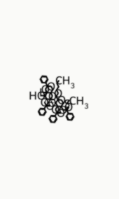 CCCCOCC1O[C@@H](SCC)C(OC(=O)c2ccccc2)C(OC(=O)c2ccccc2)[C@@H]1O[C@@H]1OC2COC(c3ccccc3)O[C@H]2C(O)[C@@H]1OC(=O)c1ccccc1